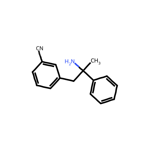 CC(N)(Cc1cccc(C#N)c1)c1ccccc1